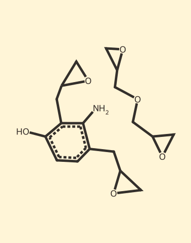 C(OCC1CO1)C1CO1.Nc1c(CC2CO2)ccc(O)c1CC1CO1